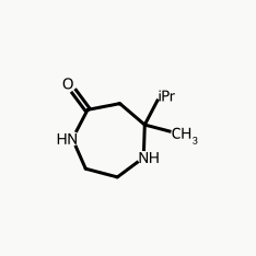 CC(C)C1(C)CC(=O)NCCN1